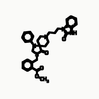 COC(=O)c1ccccc1CN1CN(c2ccccc2)C2(CCN(CCCn3c(=O)[nH]c4ccccc43)CC2)C1=O